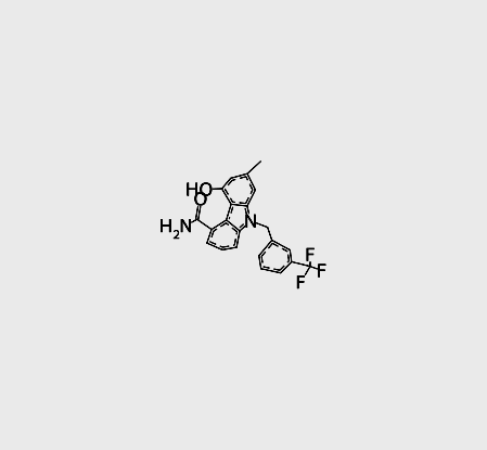 Cc1cc(O)c2c3c(C(N)=O)cccc3n(Cc3cccc(C(F)(F)F)c3)c2c1